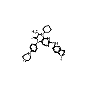 C[C@@H]1C(=O)N(c2ccc(N3CCOCC3)cc2)c2cnc(Nc3ccc4[nH]ncc4c3)nc2N1C1CCCCC1